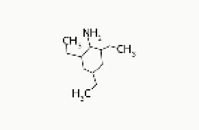 CCC1CC(CC)C(N)C(CC)C1